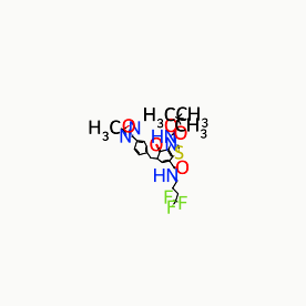 Cc1nc(-c2ccc(CC3C=C(C(=O)NCCCC(F)(F)F)C4=C(C3=O)N(NC(=O)OC(C)(C)C)CS4)cc2)no1